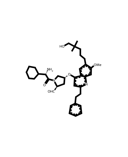 COc1cc2nc(CCc3ccccc3)cc(O[C@@H]3C[C@@H](C=O)N(C(=O)[C@@H](N)C4CCCCC4)C3)c2cc1CCCC(C)(C)CO